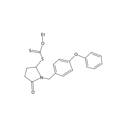 CCOC(=S)SC1CCC(=O)N1Cc1ccc(Oc2ccccc2)cc1